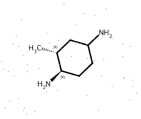 C[C@@H]1CC(N)CC[C@H]1N